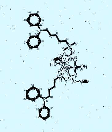 C#[Si]O[Si](OC)(O[SiH](CCCCP(c1ccccc1)c1ccccc1)C(C)C)O[Si@](O)(OC)O[Si](O[Si]#C)(O[Si](C)(C)CCCCCP(c1ccccc1)c1ccccc1)O[Si](O)(OC)OC